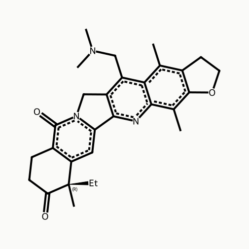 CC[C@@]1(C)C(=O)CCc2c1cc1n(c2=O)Cc2c-1nc1c(C)c3c(c(C)c1c2CN(C)C)CCO3